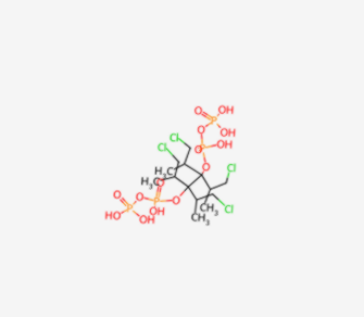 CC(CCl)C(OP(=O)(O)OP(=O)(O)O)(C(C)CCl)C(OP(=O)(O)OP(=O)(O)O)(C(C)CCl)C(C)CCl